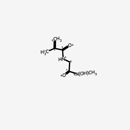 C=C(C)C(=O)NCC(=O)N(C)O